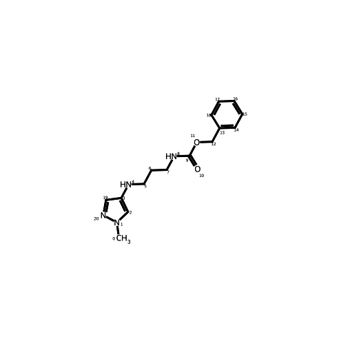 Cn1cc(NCCCNC(=O)OCc2ccccc2)cn1